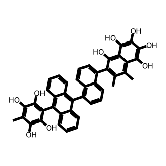 Cc1c(O)c(O)c(-c2c3ccccc3c(-c3cccc4c(-c5c(C)c(C)c6c(O)c(O)c(O)c(O)c6c5O)cccc34)c3ccccc23)c(O)c1O